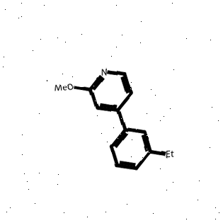 CCc1cccc(-c2ccnc(OC)c2)c1